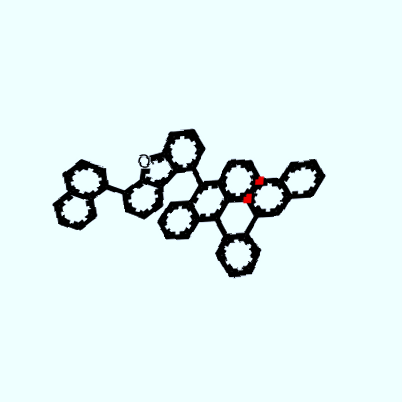 c1ccc(-c2c3ccccc3c(-c3cccc4oc5c(-c6cccc7ccccc67)cccc5c34)c3ccccc23)c(-c2ccc3ccccc3c2)c1